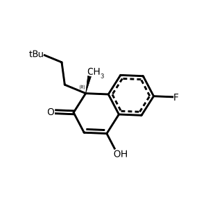 CC(C)(C)CC[C@@]1(C)C(=O)C=C(O)c2cc(F)ccc21